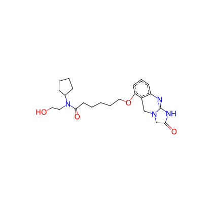 O=C1CN2Cc3c(cccc3OCCCCCC(=O)N(CCO)C3CCCC3)N=C2N1